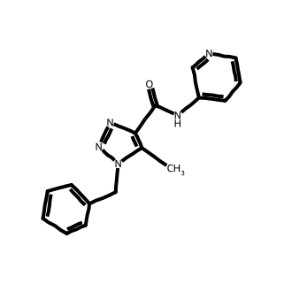 Cc1c(C(=O)Nc2cccnc2)nnn1Cc1ccccc1